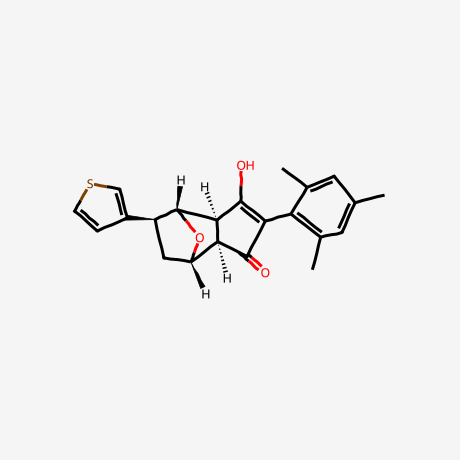 Cc1cc(C)c(C2=C(O)[C@@H]3[C@@H]4O[C@@H](C[C@H]4c4ccsc4)[C@@H]3C2=O)c(C)c1